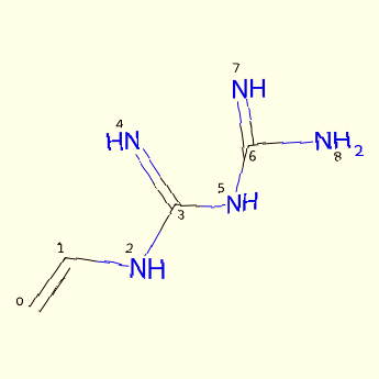 C=CNC(=N)NC(=N)N